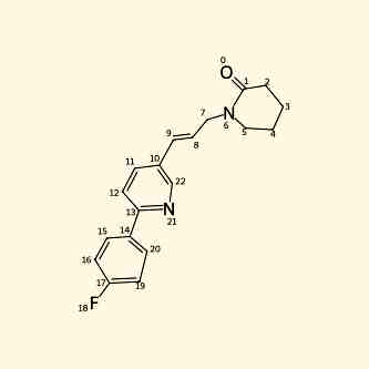 O=C1CCCCN1C/C=C/c1ccc(-c2ccc(F)cc2)nc1